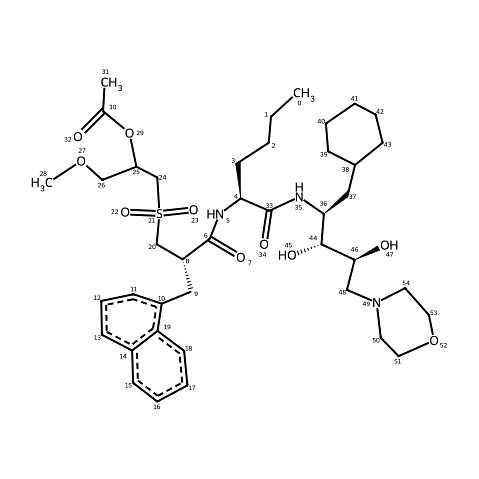 CCCC[C@H](NC(=O)[C@H](Cc1cccc2ccccc12)CS(=O)(=O)CC(COC)OC(C)=O)C(=O)N[C@@H](CC1CCCCC1)[C@@H](O)[C@@H](O)CN1CCOCC1